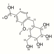 COc1cc(C(=O)O)ccc1CC1CC(CO)C(O)C(O)C1O